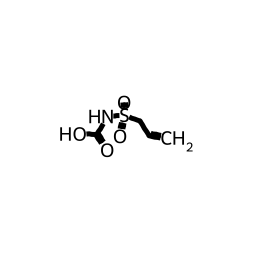 C=CCS(=O)(=O)NC(=O)O